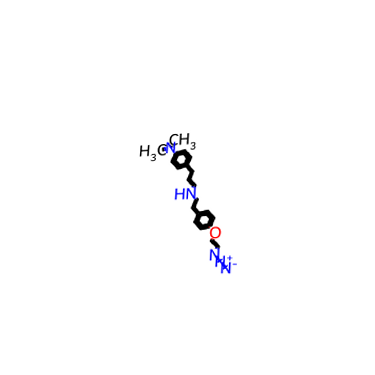 CN(C)c1ccc(CCCNCCc2ccc(OCCN=[N+]=[N-])cc2)cc1